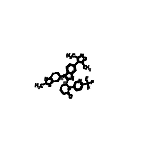 Cc1nc2c(s1)C[C@H](n1c([C@@H]3CCCC(=O)N3c3ccc(C(F)(F)F)nc3)nc3cc(-c4c(C)noc4C)ccc31)CC2